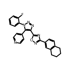 Fc1ccccc1-n1nnc(-c2nc(-c3ccc4c(c3)CCCC4)no2)c1-c1ccncc1